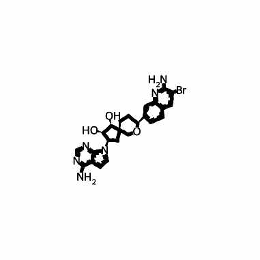 Nc1nc2cc([C@@H]3CC[C@@]4(CO3)C[C@@H](n3ccc5c(N)ncnc53)[C@H](O)[C@@H]4O)ccc2cc1Br